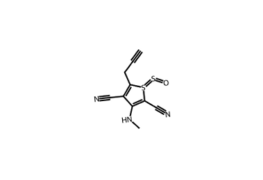 C#CCC1=C(C#N)C(NC)=C(C#N)S1=S=O